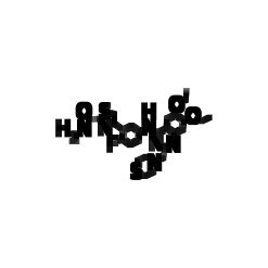 CCOc1cc2nc(CN3CCSCC3)nc(Nc3ccc(F)c(-c4csc(C(N)=O)n4)c3)c2cc1OCC